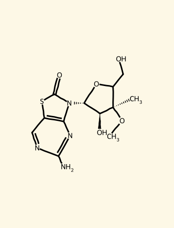 CO[C@]1(C)C(CO)O[C@@H](n2c(=O)sc3cnc(N)nc32)[C@@H]1O